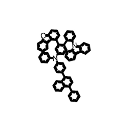 c1ccc(-c2ccc(-c3ccc(N(c4ccccc4)c4ccc(-c5ccccc5-n5c6ccccc6c6ccccc65)c(-c5cccc6oc7ccccc7c56)c4)cc3)c3ccccc23)cc1